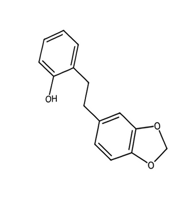 Oc1ccccc1CCc1ccc2c(c1)OCO2